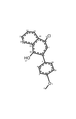 COc1ccc(-c2cc(Cl)c3cccnc3c2O)cc1